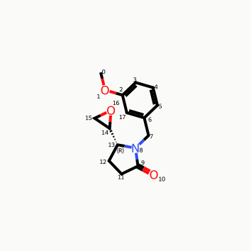 COc1cccc(CN2C(=O)CC[C@@H]2C2CO2)c1